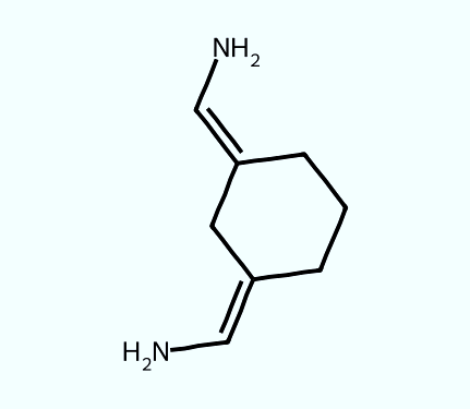 NC=C1CCCC(=CN)C1